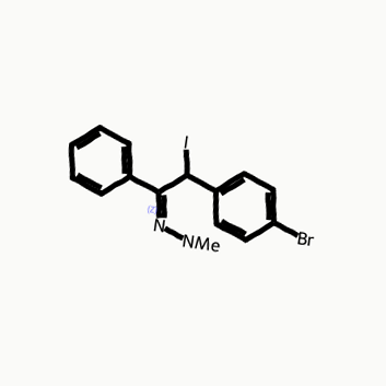 CN/N=C(/c1ccccc1)C(I)c1ccc(Br)cc1